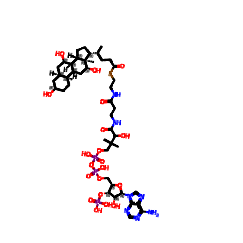 CC(CCC(=O)SCCNC(=O)CCNC(=O)C(O)C(C)(C)COP(=O)(O)OP(=O)(O)OC[C@H]1O[C@@H](n2cnc3c(N)ncnc32)[C@H](O)[C@@H]1OP(=O)(O)O)[C@H]1CC[C@H]2[C@@H]3[C@H](O)C[C@@H]4C[C@H](O)CC[C@]4(C)[C@H]3C[C@H](O)[C@]12C